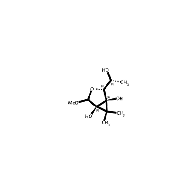 COC1O[C@H]([C@@H](C)O)[C@]2(O)C(C)(C)[C@]12O